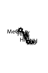 COc1cccc(CNc2nc(Nc3ccc4c(c3)NC(=O)C4)ncc2Br)c1